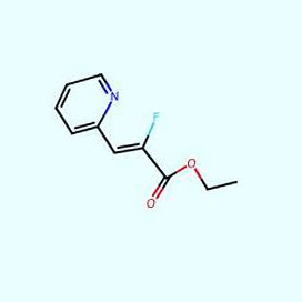 CCOC(=O)/C(F)=C/c1ccccn1